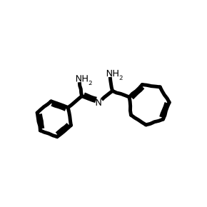 N/C(=N\C(N)C1=CCC=CCC1)c1ccccc1